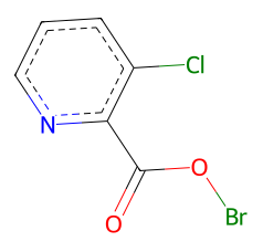 O=C(OBr)c1ncccc1Cl